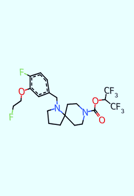 O=C(OC(C(F)(F)F)C(F)(F)F)N1CCC2(CCCN2Cc2ccc(F)c(OCCF)c2)CC1